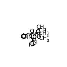 COB(C)[C@H](CC(C)C)NC(=O)[C@H](Cc1ccccc1)NC(=O)c1cnccn1